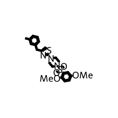 COc1ccc(OC)c(S(=O)(=O)N2CCN(c3nc(Cc4cccc(C)c4)cs3)CC2)c1